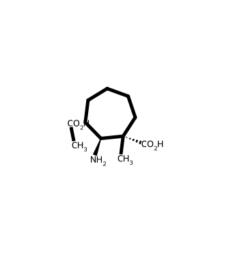 CC(=O)O.C[C@]1(C(=O)O)CCCCC[C@@H]1N